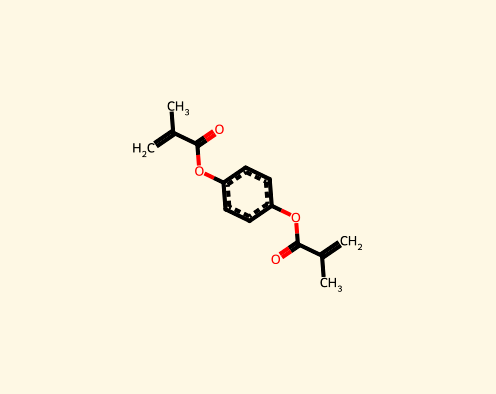 C=C(C)C(=O)Oc1ccc(OC(=O)C(=C)C)cc1